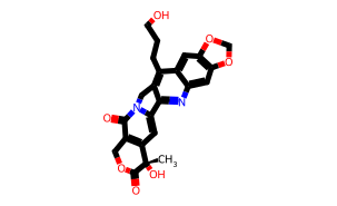 C[C@@]1(O)C(=O)OCc2c1cc1n(c2=O)Cc2c-1nc1cc3c(cc1c2CCCO)OCO3